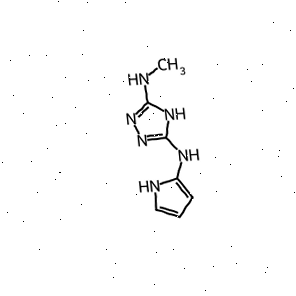 CNc1nnc(Nc2ccc[nH]2)[nH]1